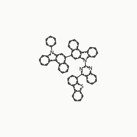 c1ccc(-n2c3ccccc3c3c4ccccc4c(-c4cc5c(c6ccccc46)c4ccccc4n5-c4nc(-c5cccc6c5sc5ccccc56)c5ccccc5n4)cc32)cc1